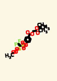 COOOSC(=C(F)F)S(=O)(=O)Oc1ccc(C(=O)OCC(=O)OC(C)(C)C)cc1